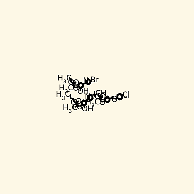 CCCCOC(=O)C(C)Oc1ccc(-c2ccc(I)cn2)cc1O.CCOC(=O)C(C)Oc1ccc(-c2ccc(Br)cn2)cc1O.COC(=O)C(C)Oc1ccc(COc2ccc(Cl)cc2)cc1